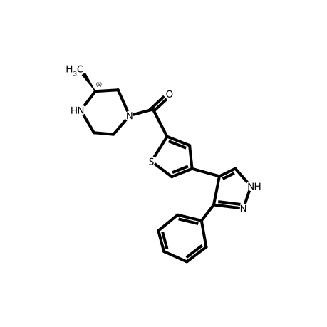 C[C@H]1CN(C(=O)c2cc(-c3c[nH]nc3-c3ccccc3)cs2)CCN1